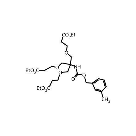 CCOC(=O)CCOCC(COCCC(=O)OCC)(COCCC(=O)OCC)NC(=O)OCc1cccc(C)c1